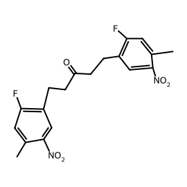 Cc1cc(F)c(CCC(=O)CCc2cc([N+](=O)[O-])c(C)cc2F)cc1[N+](=O)[O-]